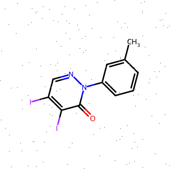 Cc1cccc(-n2ncc(I)c(I)c2=O)c1